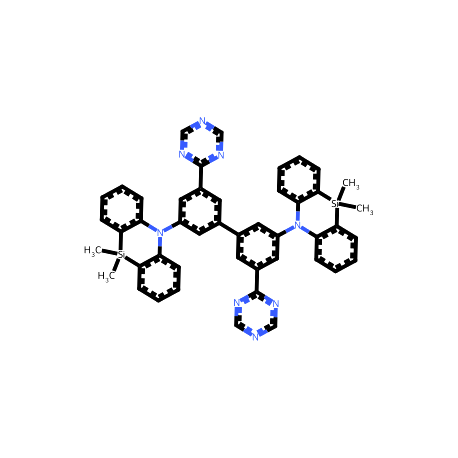 C[Si]1(C)c2ccccc2N(c2cc(-c3cc(-c4ncncn4)cc(N4c5ccccc5[Si](C)(C)c5ccccc54)c3)cc(-c3ncncn3)c2)c2ccccc21